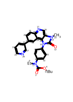 CCN(C(=O)OC(C)(C)C)c1ccc(-n2c(=O)n(C)c3cnc4ccc(-c5cccnc5)cc4c32)cc1